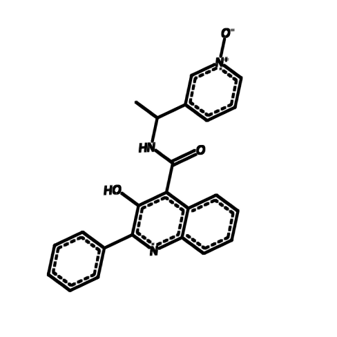 CC(NC(=O)c1c(O)c(-c2ccccc2)nc2ccccc12)c1ccc[n+]([O-])c1